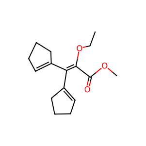 CCOC(C(=O)OC)=C(C1=CCCC1)C1=CCCC1